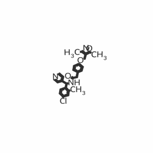 Cc1cc(Cl)ccc1C(NC(=O)Cc1ccc(OCc2c(C)noc2C)cc1)c1ccncc1